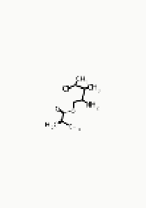 C=C(C)C(=O)OCC(N)C(C)C(C)Cl